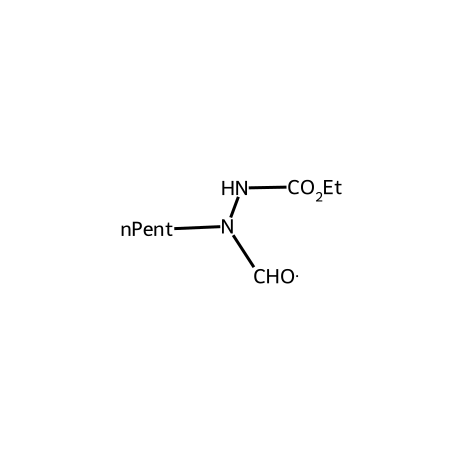 CCCCCN([C]=O)NC(=O)OCC